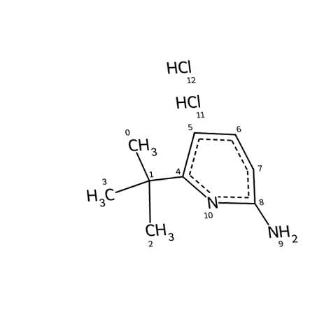 CC(C)(C)c1cccc(N)n1.Cl.Cl